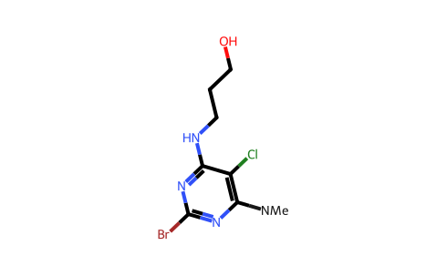 CNc1nc(Br)nc(NCCCO)c1Cl